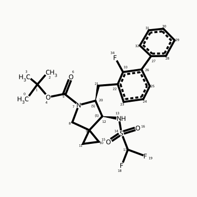 CC(C)(C)OC(=O)N1CC2(CC2)[C@H](NS(=O)(=O)C(F)F)[C@@H]1Cc1cccc(-c2ccccc2)c1F